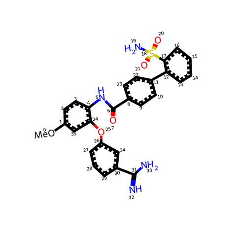 COc1ccc(NC(=O)c2ccc(-c3ccccc3S(N)(=O)=O)cc2)c(Oc2cccc(C(=N)N)c2)c1